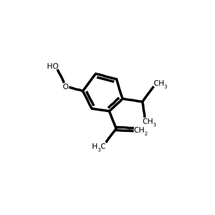 C=C(C)c1cc(OO)ccc1C(C)C